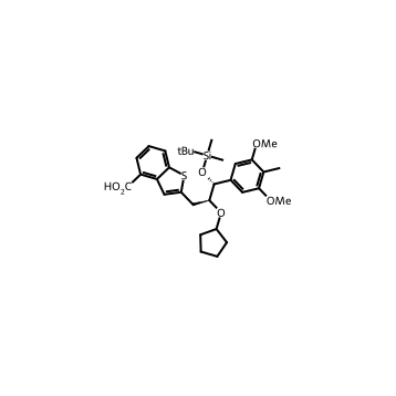 COc1cc([C@@H](O[Si](C)(C)C(C)(C)C)[C@H](Cc2cc3c(C(=O)O)cccc3s2)OC2CCCC2)cc(OC)c1C